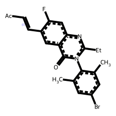 CCc1nc2cc(F)c(/C=C/C(C)=O)cc2c(=O)n1-c1c(C)cc(Br)cc1C